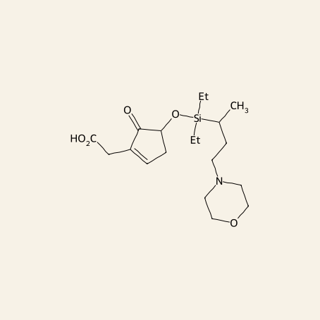 CC[Si](CC)(OC1CC=C(CC(=O)O)C1=O)C(C)CCN1CCOCC1